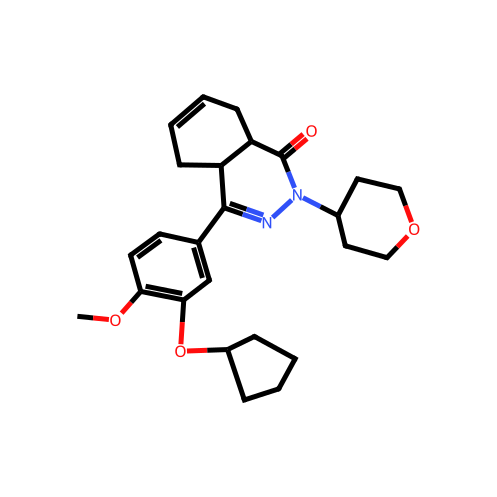 COc1ccc(C2=NN(C3CCOCC3)C(=O)C3CC=CCC23)cc1OC1CCCC1